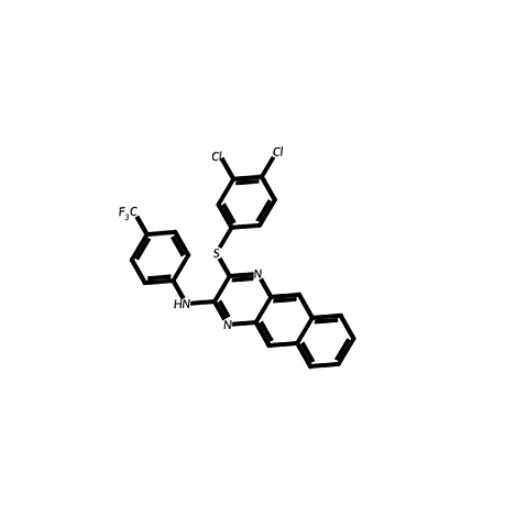 FC(F)(F)c1ccc(Nc2nc3cc4ccccc4cc3nc2Sc2ccc(Cl)c(Cl)c2)cc1